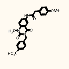 COc1ccc(CC(=O)Nc2ccc3c(c2)c(=O)n(Cc2ccc(C(=O)O)cc2)c(=O)n3C)cc1